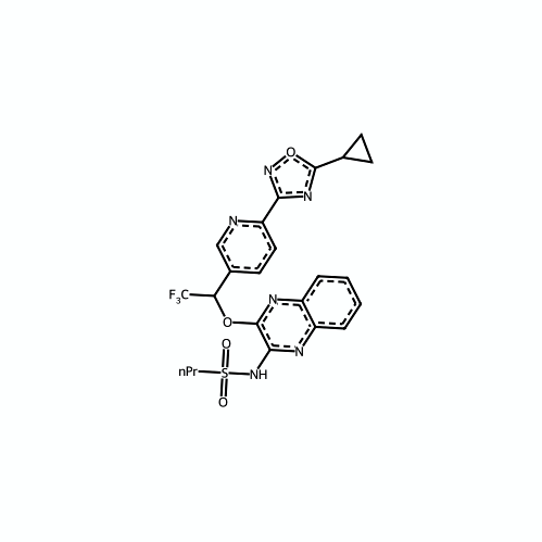 CCCS(=O)(=O)Nc1nc2ccccc2nc1OC(c1ccc(-c2noc(C3CC3)n2)nc1)C(F)(F)F